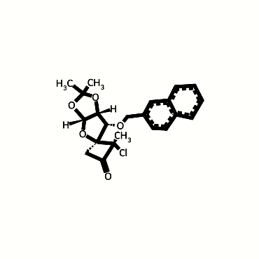 CC1(C)O[C@H]2O[C@@]3(CC(=O)[C@@]3(C)Cl)[C@@H](OCc3ccc4ccccc4c3)[C@H]2O1